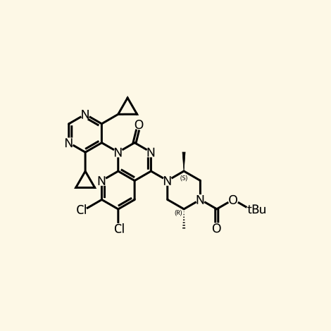 C[C@@H]1CN(c2nc(=O)n(-c3c(C4CC4)ncnc3C3CC3)c3nc(Cl)c(Cl)cc23)[C@@H](C)CN1C(=O)OC(C)(C)C